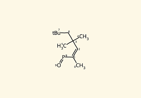 CC(=CC(C)(C)CC(C)(C)C)P=O